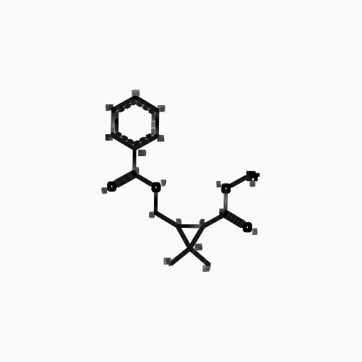 CC(C)OC(=O)C1C(COC(=O)c2ccccc2)C1(C)C